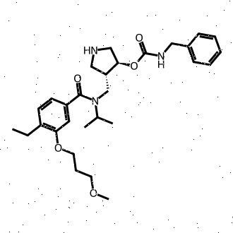 CCc1ccc(C(=O)N(C[C@@H]2CNC[C@H]2OC(=O)NCc2ccccc2)C(C)C)cc1OCCCOC